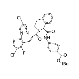 CC(C)(C)OC(=O)c1ccc(NC(=O)[C@@H]2c3ccccc3CCN2C(=O)/C=C/c2c(-n3cc(Cl)nn3)ccc(Cl)c2F)cc1